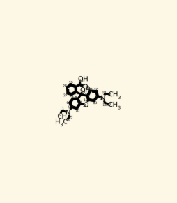 CCN(CC)c1ccc2c(c1)Oc1cc(N(CC)CC)ccc1C2(O)c1ccccc1C(=O)O